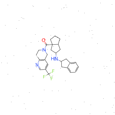 O=C(N1CCc2ncc(C(F)(F)F)cc2C1)C12CCCC1CC(NC1Cc3ccccc3C1)C2